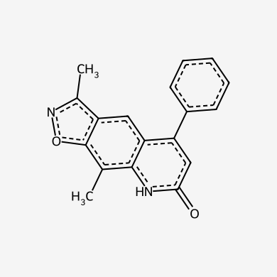 Cc1noc2c(C)c3[nH]c(=O)cc(-c4ccccc4)c3cc12